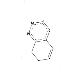 [c]1cc2c(nn1)CCC=C2